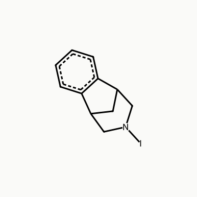 IN1CC2CC(C1)c1ccccc12